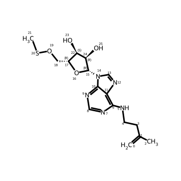 C=C(C)CCNc1ncnc2c1ncn2[C@@H]1O[C@H](COSC)[C@@H](O)[C@H]1O